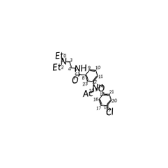 CCN(CC)CCNC(=O)c1cccc(N(Oc2ccc(Cl)cc2)C(C)=O)c1